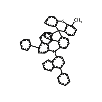 Cc1cccc2c1Sc1ccccc1C21c2ccccc2-c2c(N(c3ccc(-c4ccccc4)c4ccccc34)c3ccc(-c4ccccc4)c4ccccc34)cccc21